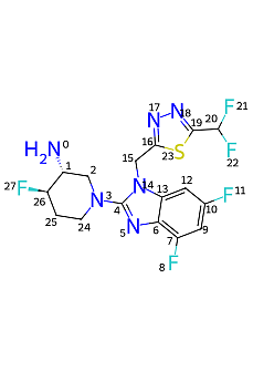 N[C@@H]1CN(c2nc3c(F)cc(F)cc3n2Cc2nnc(C(F)F)s2)CC[C@H]1F